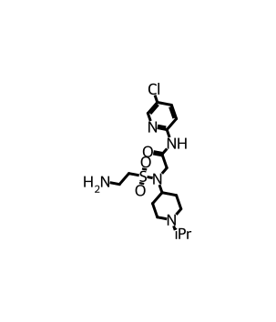 CC(C)N1CCC(N(CC(=O)Nc2ccc(Cl)cn2)S(=O)(=O)CCN)CC1